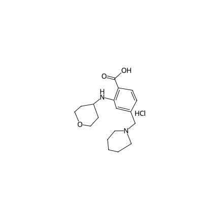 Cl.O=C(O)c1ccc(CN2CCCCC2)cc1NC1CCOCC1